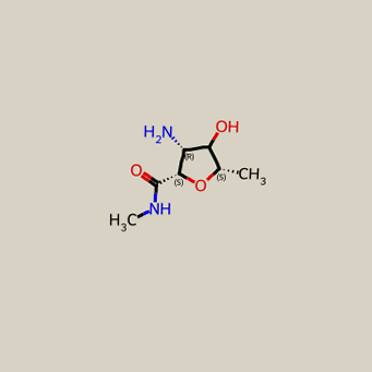 CNC(=O)[C@H]1O[C@@H](C)C(O)[C@H]1N